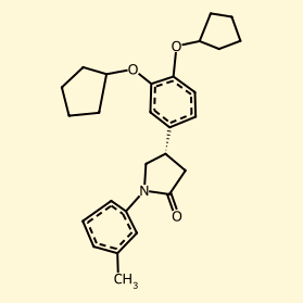 Cc1cccc(N2C[C@H](c3ccc(OC4CCCC4)c(OC4CCCC4)c3)CC2=O)c1